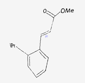 COC(=O)/C=C/c1ccccc1C(C)C